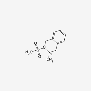 C[C@H]1Cc2ccccc2CN1S(C)(=O)=O